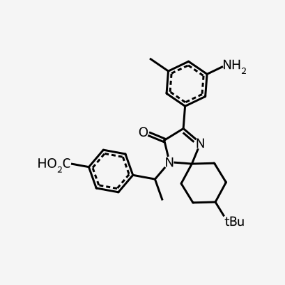 Cc1cc(N)cc(C2=NC3(CCC(C(C)(C)C)CC3)N(C(C)c3ccc(C(=O)O)cc3)C2=O)c1